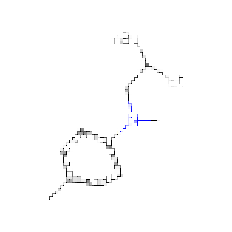 CCCCC(CC)CN(C)c1ccc(C)cc1